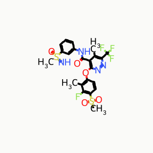 Cc1c(Oc2nnc(C(F)(F)F)c(C)c2C(=O)Nc2cccc(S(C)(=N)=O)c2)ccc(S(C)(=O)=O)c1F